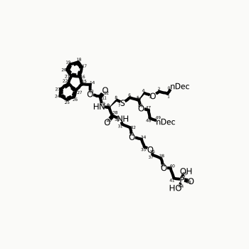 CCCCCCCCCCCCOC[C@H](CSC[C@H](NC(=O)OCC1c2ccccc2-c2ccccc21)C(=O)NCCOCCOCCOCCP(=O)(O)O)OCCCCCCCCCCCC